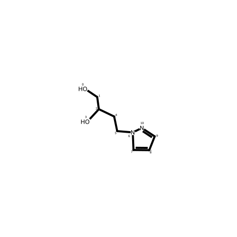 OCC(O)CCn1c[c]cn1